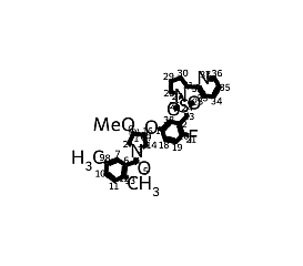 CO[C@@H]1CN(C(=O)c2cc(C)ccc2C)C[C@H]1Oc1ccc(F)c(CS(=O)(=O)N2CCCC2c2ccccn2)c1